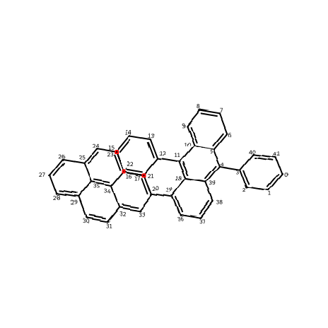 c1ccc(-c2c3ccccc3c(-c3ccccc3)c3c(-c4cc5ccc6cccc7ccc(c4)c5c67)cccc23)cc1